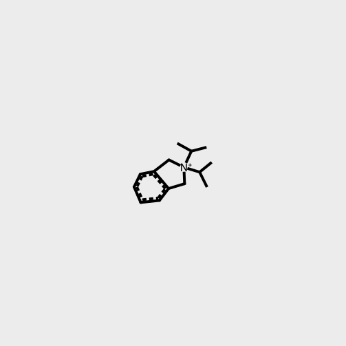 CC(C)[N+]1(C(C)C)Cc2ccccc2C1